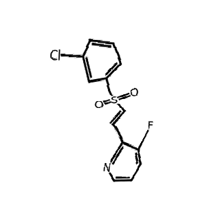 O=S(=O)(/C=C/c1ncccc1F)c1cccc(Cl)c1